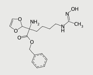 CC(=NO)NCCCCC(N)(C(=O)OCc1ccccc1)C1OC=CO1